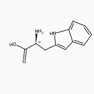 N[C@@H](Cc1cc2ccccc2[nH]1)C(=O)O